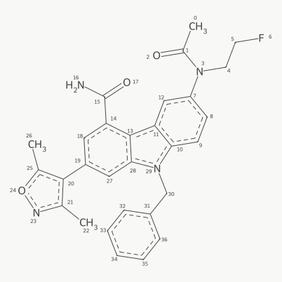 CC(=O)N(CCF)c1ccc2c(c1)c1c(C(N)=O)cc(-c3c(C)noc3C)cc1n2Cc1ccccc1